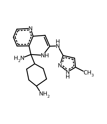 Cc1cc(NC2=Cc3ncccc3C(N)(C3CCC(N)CC3)N2)n[nH]1